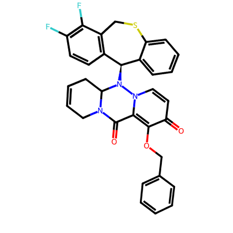 O=C1c2c(OCc3ccccc3)c(=O)ccn2N([C@@H]2c3ccccc3SCc3c2ccc(F)c3F)C2CC=CCN12